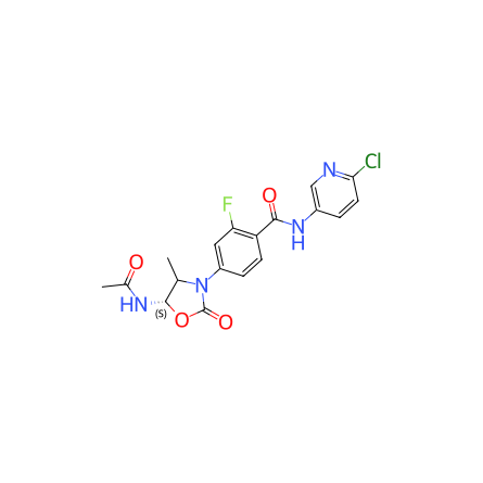 CC(=O)N[C@H]1OC(=O)N(c2ccc(C(=O)Nc3ccc(Cl)nc3)c(F)c2)C1C